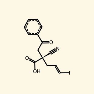 N#C[C@](C/C=C/I)(CC(=O)c1ccccc1)C(=O)O